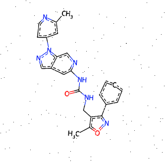 Cc1cc(-n2ncc3cc(NC(=O)NCc4c(-c5ccccc5)noc4C)ncc32)ccn1